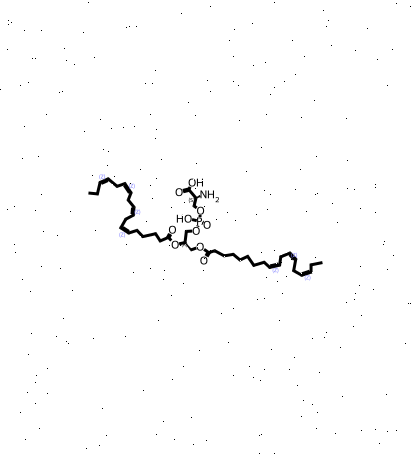 CC/C=C\C/C=C\C/C=C\C/C=C\CCCCC(=O)O[C@H](COC(=O)CCCCCCC/C=C\C/C=C\C/C=C\CC)COP(=O)(O)OC[C@H](N)C(=O)O